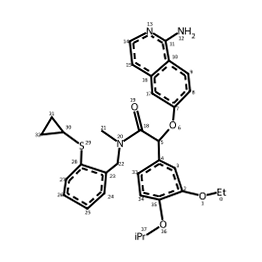 CCOc1cc(C(Oc2ccc3c(N)nccc3c2)C(=O)N(C)Cc2ccccc2SC2CC2)ccc1OC(C)C